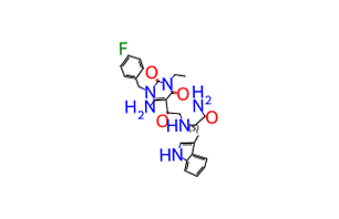 CCn1c(=O)c(C(=O)CN[C@@H](Cc2c[nH]c3ccccc23)C(N)=O)c(N)n(Cc2ccc(F)cc2)c1=O